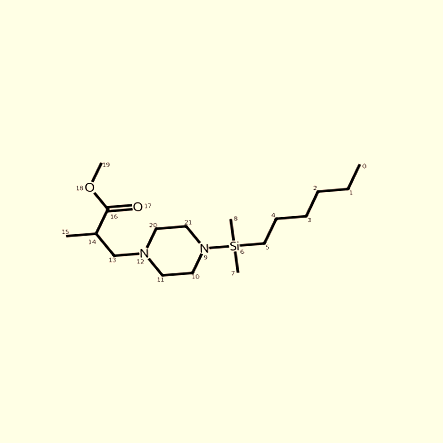 CCCCCC[Si](C)(C)N1CCN(CC(C)C(=O)OC)CC1